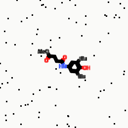 COC(=O)CCC(=O)Nc1cc(C(C)(C)C)c(O)c(C(C)(C)C)c1